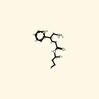 CCCC(F)OC(=O)CCC(CN)c1ccccn1